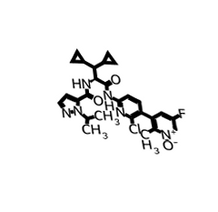 Cc1c(-c2ccc(NC(=O)[C@@H](NC(=O)c3ccnn3C(C)C)C(C3CC3)C3CC3)nc2Cl)cc(F)c[n+]1[O-]